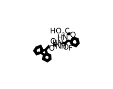 O=C(NNC(=O)C(NC(=O)C(=O)O)c1ccccc1F)OCC1c2ccccc2-c2ccccc21